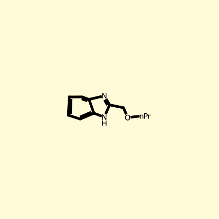 CCCOCc1nc2ccccc2[nH]1